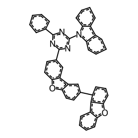 c1ccc(-c2nc(-c3ccc4oc5ccc(-c6cccc7oc8ccccc8c67)cc5c4c3)nc(-n3c4ccccc4c4ccccc43)n2)cc1